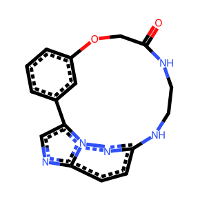 O=C1COc2cccc(c2)-c2cnc3ccc(nn23)NCCN1